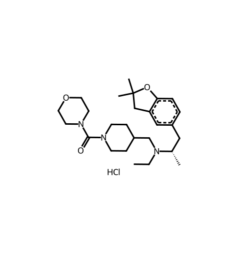 CCN(CC1CCN(C(=O)N2CCOCC2)CC1)[C@@H](C)Cc1ccc2c(c1)CC(C)(C)O2.Cl